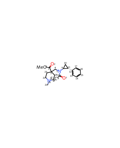 COC(=O)C1(CN(C(=O)C(F)(F)F)[C@H]2C[C@@H]2c2ccccc2)CCN(C)CC1